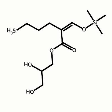 C[Si](C)(C)OC=C(CCC[SiH3])C(=O)OCC(O)CO